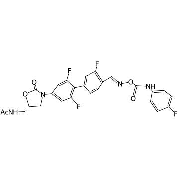 CC(=O)NC[C@H]1CN(c2cc(F)c(-c3ccc(C=NOC(=O)Nc4ccc(F)cc4)c(F)c3)c(F)c2)C(=O)O1